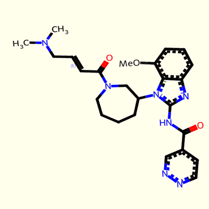 COc1cccc2nc(NC(=O)c3ccnnc3)n(C3CCCCN(C(=O)/C=C/CN(C)C)C3)c12